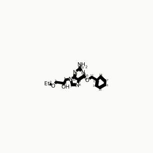 CCOC[C@H](O)Cn1cnc2c(OCc3ccccc3)nc(N)nc21